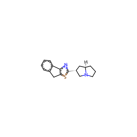 c1ccc2c(c1)Cc1sc([C@@H]3C[C@H]4CCCN4C3)nc1-2